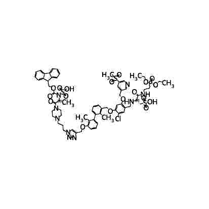 CCOP(=O)(CCNC(=O)[C@H](CS(=O)(=O)O)NCc1cc(Cl)c(OCc2cccc(-c3cccc(OCc4cn(CCCN5CCN(C(=O)[C@@H](C)N(C(=O)OCC6c7ccccc7-c7ccccc76)S(=O)(=O)O)CC5)nn4)c3C)c2C)cc1OCc1cncc(S(C)(=O)=O)c1)OCC